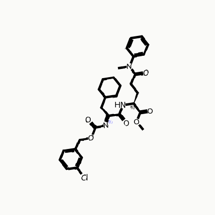 COC(=O)[C@H](CCC(=O)N(C)c1ccccc1)NC(=O)/C(CC1CCCCC1)=N/C(=O)OCc1cccc(Cl)c1